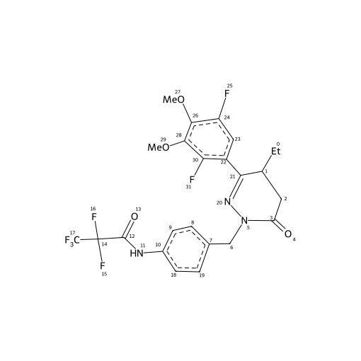 CCC1CC(=O)N(Cc2ccc(NC(=O)C(F)(F)C(F)(F)F)cc2)N=C1c1cc(F)c(OC)c(OC)c1F